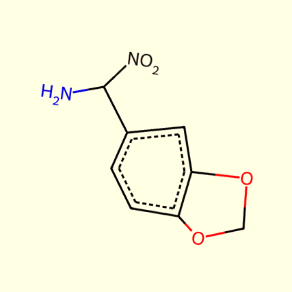 NC(c1ccc2c(c1)OCO2)[N+](=O)[O-]